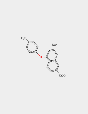 O=C([O-])c1ccc2c(Oc3ccc(C(F)(F)F)cc3)cccc2c1.[Na+]